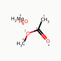 COC(C)=O.O.[MgH2]